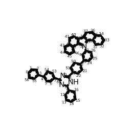 c1ccc(-c2ccc(C3=NC(c4ccccc4)NC(c4ccc(-c5cccc(-n6c7c8ccccc8ccc7c7ccc8ccccc8c76)c5)cc4)=N3)cc2)cc1